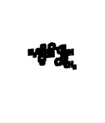 COc1ccccc1-c1n[nH]c2ncc(-c3cccc(C(O)C(=O)N(C)C4CCOCC4)c3)cc12